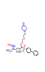 O=CC(CCN(NO)C(=O)O)N(OCCOCCN1CCNCC1)S(=O)(=O)c1ccc(-c2ccccc2)cc1